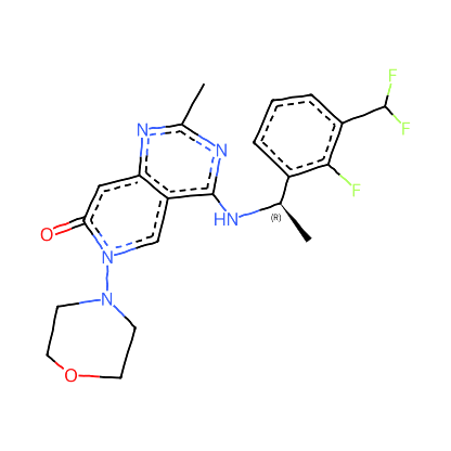 Cc1nc(N[C@H](C)c2cccc(C(F)F)c2F)c2cn(N3CCOCC3)c(=O)cc2n1